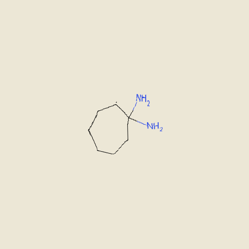 NC1(N)[CH]CCCCC1